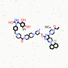 C=CC(=O)N1CCN(c2nc(OC[C@@H]3C[C@H](N4CCC5(CCN(C(=O)C6CCN(Cc7ccc(-n8c(O)nnc8-c8cc(C(C)C)c(O)cc8O)cc7)CC6)CC5)CC4)CN3C)nc3c2CCN(c2cccc4cccc(Cl)c24)C3)C[C@@H]1CC#N